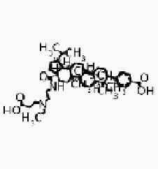 CCN(CCNC(=O)[C@]12CC[C@@H](C(C)C)[C@@H]1[C@H]1CC[C@@H]3[C@@]4(C)CC=C(c5ccc(C(=O)O)cc5)C(C)(C)[C@@H]4CC[C@@]3(C)[C@]1(C)CC2)CCC(=O)O